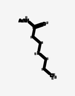 CC(=O)NC(=O)CCSCCC(F)(F)F